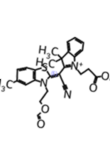 Cc1ccc2c(c1)N(CCOC=O)/C(=C(\C#N)C1=[N+](CCC(=O)O)c3ccccc3C1(C)C)S2